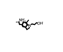 Cc1cc(C[C@@H](C)N)cc2c1N(CCCO)CC2